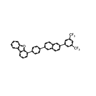 FC(F)(F)c1cc(-c2ccc3cc(-c4ccc(-c5cccc6c5oc5ccccc56)cc4)ccc3c2)cc(C(F)(F)F)c1